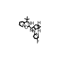 CC(C)(C)[C@@H](NC(=O)c1nn(-c2ccc(F)cn2)c2c1C[C@H]1C[C@@H]21)c1ccccn1